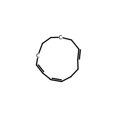 [C]1=CCCC=CCCCCCC=C1